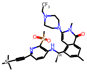 Cc1cc([C@@H](C)Nc2ccc(C#C[Si](C)(C)C)nc2S(C)(=O)=O)c2cc(N3CCN(CC(F)(F)F)CC3)n(C)c(=O)c2c1